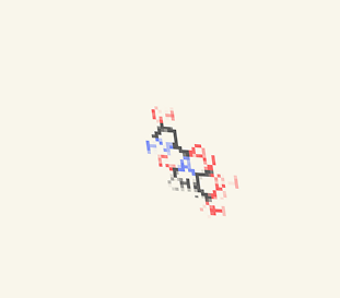 CC(=O)N(C(=O)C1CC(O)CN1)C(CC(=O)O)C(=O)O